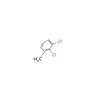 [CH2]c1cccc(Cl)c1Cl